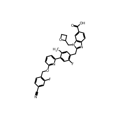 Cc1cc(Cc2nc3ccc(C(=O)O)cc3n2CC2CCO2)c(F)cc1-c1cccc(OCc2ccc(C#N)cc2F)n1